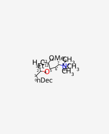 CCCCCCCCCCCC(CC)OC([CH]C[N+](C)(C)C)C(C)OC